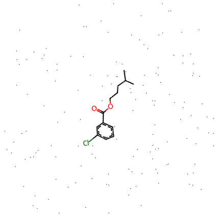 CC(C)CCCOC(=O)c1[c]ccc(Cl)c1